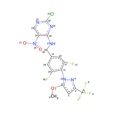 COc1cc(C(F)(F)F)nn1-c1c(F)cc(CNc2nc(Cl)ncc2[N+](=O)[O-])cc1F